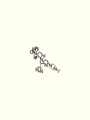 CCCS(=O)(=O)Nc1ccc(F)c(-n2cc(-c3cncnc3)c3nc(N4CCN(C5CC5)CC4)ccc32)c1F